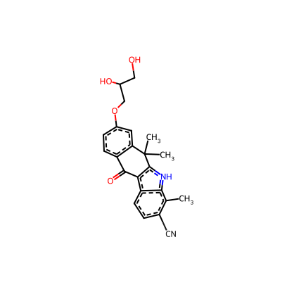 Cc1c(C#N)ccc2c3c([nH]c12)C(C)(C)c1cc(OCC(O)CO)ccc1C3=O